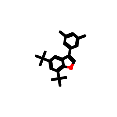 Cc1cc(C)cc(-c2coc3c(C(C)(C)C)cc(C(C)(C)C)cc23)c1